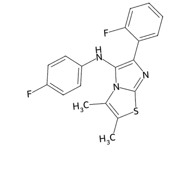 Cc1sc2nc(-c3ccccc3F)c(Nc3ccc(F)cc3)n2c1C